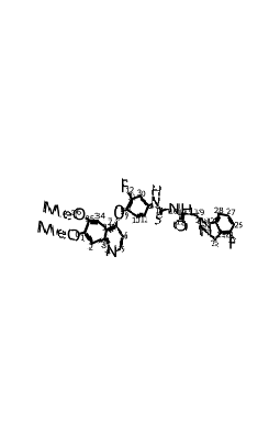 COc1cc2nccc(Oc3ccc(NC(=S)NC(=O)Cn4ncc5c(F)cccc54)cc3F)c2cc1OC